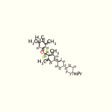 CCCC1CCC(C2CC=C(c3cc(C)c(C(F)(F)Oc4cc(C)c(C)c(C)c4)c(C)c3)CC2)CC1